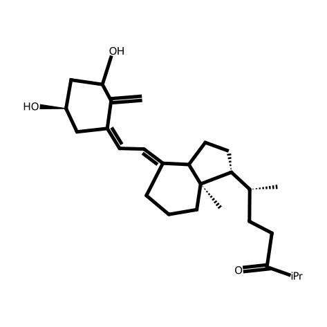 C=C1/C(=C\C=C2/CCC[C@@]3(C)C2CC[C@@H]3[C@H](C)CCC(=O)C(C)C)C[C@@H](O)CC1O